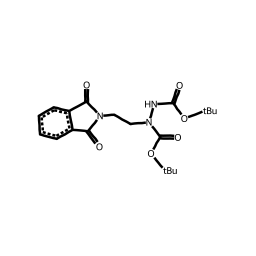 CC(C)(C)OC(=O)NN(CCN1C(=O)c2ccccc2C1=O)C(=O)OC(C)(C)C